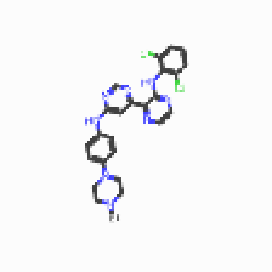 CCN1CCN(c2ccc(Nc3cc(-c4nccnc4Nc4c(Cl)cccc4Cl)ncn3)cc2)CC1